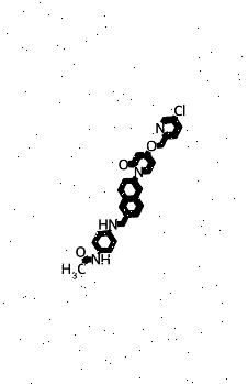 CC(=O)N[C@H]1CC[C@@H](NCc2ccc3c(c2)CCC(n2ccc(OCc4ccc(Cl)cn4)cc2=O)=C3)CC1